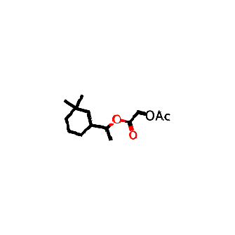 CC(=O)OCC(=O)OC(C)C1CCCC(C)(C)C1